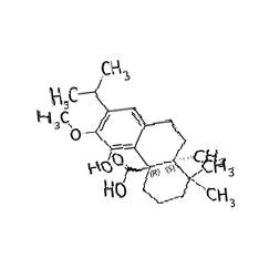 COc1c(C(C)C)cc2c(c1O)[C@@]1(C(=O)O)CCCC(C)(C)[C@]1(C)CC2